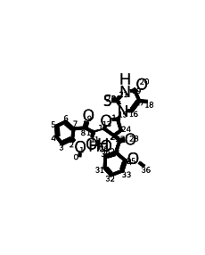 COc1ccccc1C(=O)C(O)[C@H]1O[C@H](n2cc(C)c(=O)[nH]c2=S)C[C@@]1(O)C(=O)c1ccccc1OC